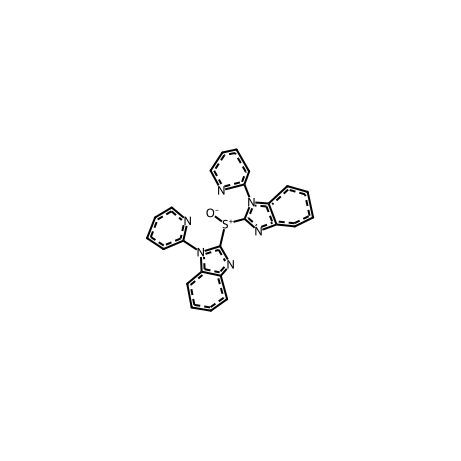 [O-][S+](c1nc2ccccc2n1-c1ccccn1)c1nc2ccccc2n1-c1ccccn1